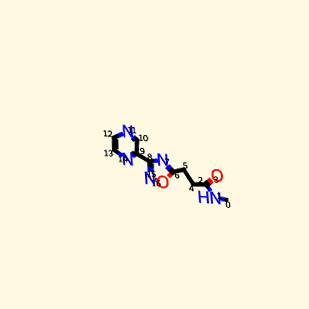 CNC(=O)CCc1nc(-c2cnccn2)no1